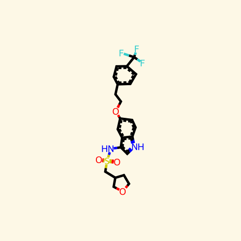 O=S(=O)(CC1CCOC1)Nc1c[nH]c2ccc(OCCc3ccc(C(F)(F)F)cc3)cc12